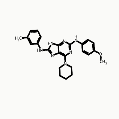 COc1ccc(Nc2nc(N3CCCCC3)c3nc(Nc4cccc(C)c4)[nH]c3n2)cc1